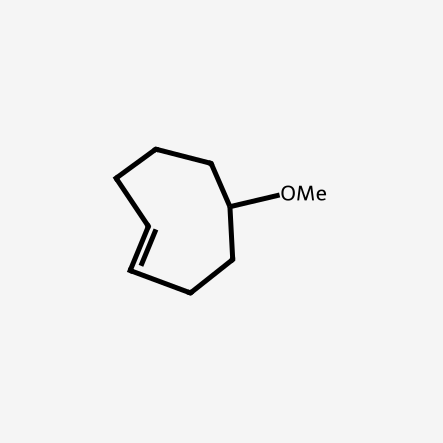 COC1CC/C=C/CCC1